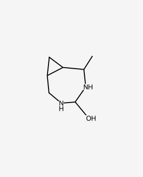 CC1NC(O)NCC2CC21